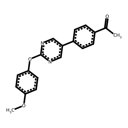 COc1ccc(Oc2ncc(-c3ccc(C(C)=O)cc3)cn2)cc1